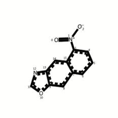 O=[N+]([O-])c1cccc2cc3ocnc3cc12